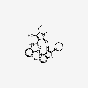 CCC1C(O)=C(C(=O)Nc2cccc(Sc3ccc4nc(N5CCCCC5)[nH]c4n3)c2Cl)C(=O)N1C